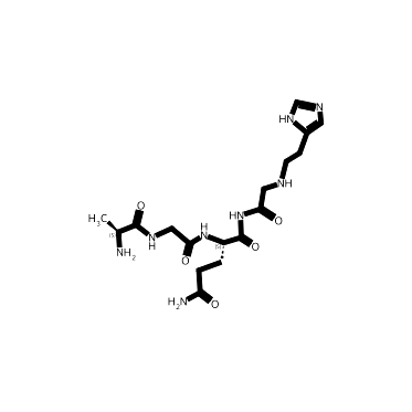 C[C@H](N)C(=O)NCC(=O)N[C@@H](CCC(N)=O)C(=O)NC(=O)CNCCc1cnc[nH]1